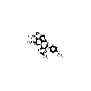 COc1ccc([C@@H]2Sc3ccccc3N(CC(C)CN(C)C)C(=O)[C@@H]2OC(C)=O)cc1